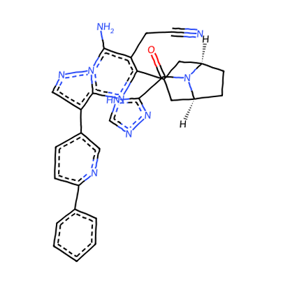 N#CCc1c(C2C[C@H]3CC[C@@H](C2)N3C(=O)c2nnc[nH]2)nc2c(-c3ccc(-c4ccccc4)nc3)cnn2c1N